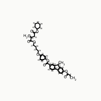 C=CC(=O)Oc1ccc2c(c1)C(C)c1cc(C(=O)Oc3ccc(OCCCCOC(=O)C(=C)CC(=O)OC4CCCCC4)cc3)ccc1-2